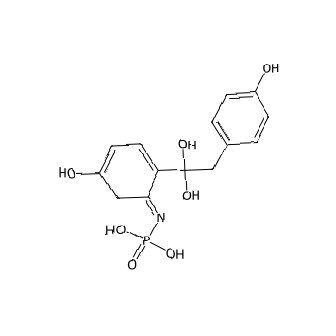 O=P(O)(O)N=C1CC(O)=CC=C1C(O)(O)Cc1ccc(O)cc1